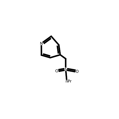 CCCS(=O)(=O)Cc1ccncc1